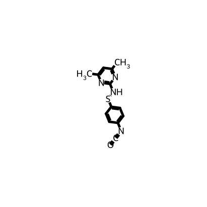 Cc1cc(C)nc(NSc2ccc(N=C=O)cc2)n1